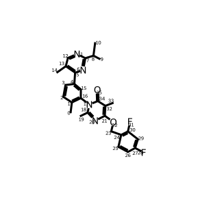 Cc1ccc(-c2nc(C(C)C)ncc2C)cc1-n1c(C)nc(OCc2ccc(F)cc2F)c(C)c1=O